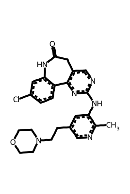 Cc1ncc(CCN2CCOCC2)cc1Nc1ncc2c(n1)-c1ccc(Cl)cc1NC(=O)C2